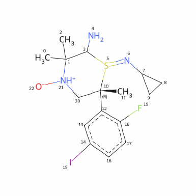 CC1(C)C(N)S(=NC2CC2)[C@](C)(c2cc(I)ccc2F)C[NH+]1[O-]